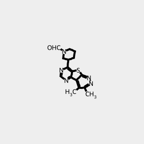 Cc1nnc2sc3c(C4CCCN(C=O)C4)ncnc3c2c1C